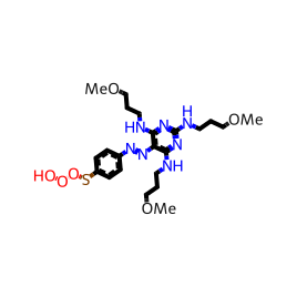 COCCCNc1nc(NCCCOC)c(N=Nc2ccc(SOOO)cc2)c(NCCCOC)n1